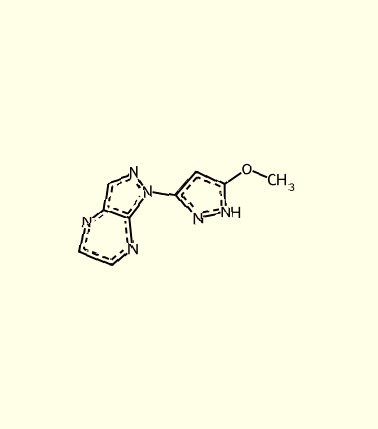 COc1cc(-n2ncc3nccnc32)n[nH]1